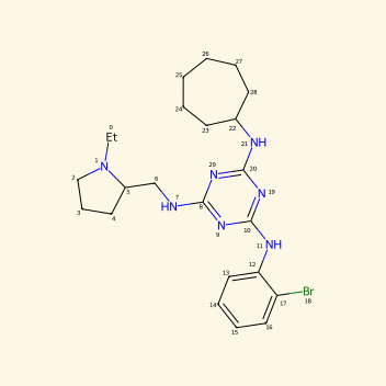 CCN1CCCC1CNc1nc(Nc2ccccc2Br)nc(NC2CCCCCC2)n1